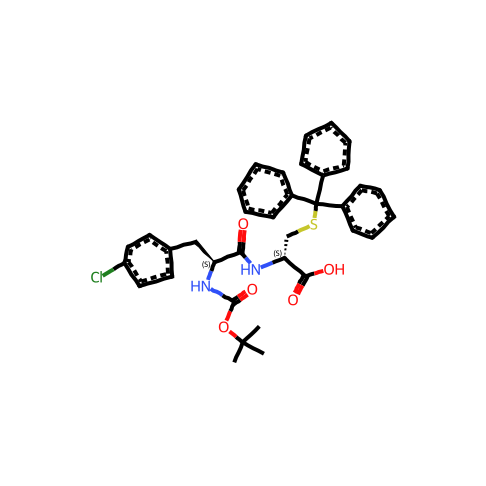 CC(C)(C)OC(=O)N[C@@H](Cc1ccc(Cl)cc1)C(=O)N[C@H](CSC(c1ccccc1)(c1ccccc1)c1ccccc1)C(=O)O